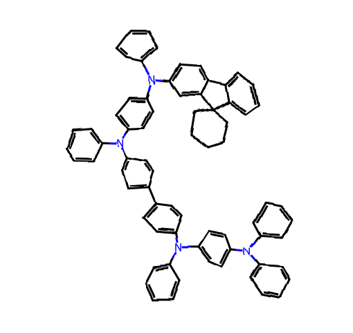 c1ccc(N(c2ccccc2)c2ccc(N(c3ccccc3)c3ccc(-c4ccc(N(c5ccccc5)c5ccc(N(c6ccccc6)c6ccc7c(c6)C6(CCCCC6)c6ccccc6-7)cc5)cc4)cc3)cc2)cc1